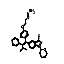 CC(C)/C(=C(/c1ccc(OCCN=NN)cc1)c1ccc2c(c1)c(F)nn2C1CCCCO1)c1ccccc1